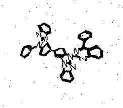 c1ccc(-c2nc(-n3c4ccc(-c5ccc6c(c5)n5c7ccccc7nc5n6-c5ccccc5)cc4n4c5ccccc5nc34)nc3ccccc23)cc1